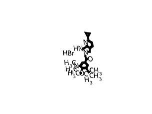 Br.COc1c(N(C)C)cc(C(=O)CN2Cc3ccc(C4CC4)nc3C2=N)cc1C(C)(C)C